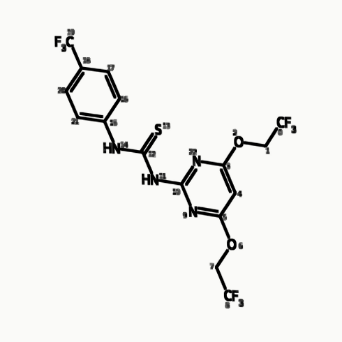 FC(F)(F)COc1cc(OCC(F)(F)F)nc(NC(=S)Nc2ccc(C(F)(F)F)cc2)n1